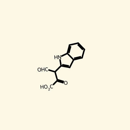 O=CC(C(=O)C(=O)O)c1cc2ccccc2[nH]1